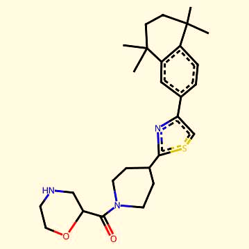 CC1(C)CCC(C)(C)c2cc(-c3csc(C4CCN(C(=O)C5CNCCO5)CC4)n3)ccc21